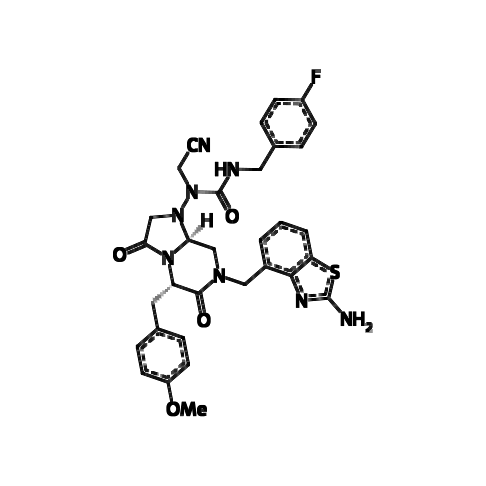 COc1ccc(C[C@H]2C(=O)N(Cc3cccc4sc(N)nc34)C[C@H]3N2C(=O)CN3N(CC#N)C(=O)NCc2ccc(F)cc2)cc1